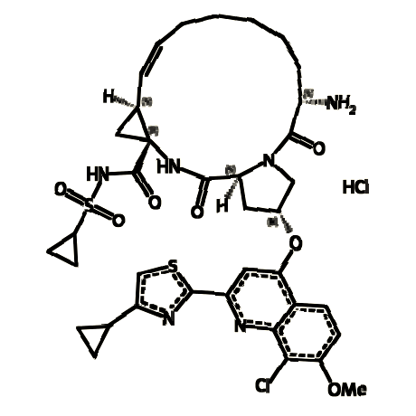 COc1ccc2c(O[C@@H]3C[C@H]4C(=O)N[C@]5(C(=O)NS(=O)(=O)C6CC6)C[C@H]5C=CCCCCC[C@H](N)C(=O)N4C3)cc(-c3nc(C4CC4)cs3)nc2c1Cl.Cl